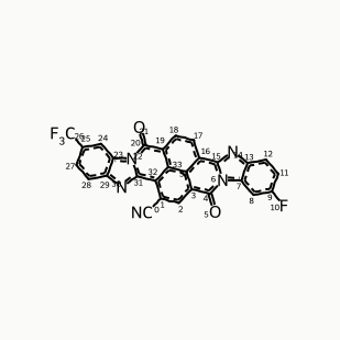 N#Cc1cc2c(=O)n3c4cc(F)ccc4nc3c3ccc4c(=O)n5c6cc(C(F)(F)F)ccc6nc5c1c4c23